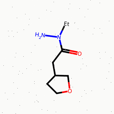 CCN(N)C(=O)CC1CCOC1